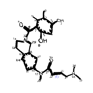 Cc1c(O)cc(O)c(C(=O)N2CCc3ccc(N(C)C(=O)/C=C/CN(C)C)cc3C2)c1C